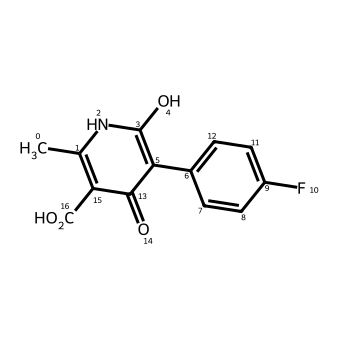 Cc1[nH]c(O)c(-c2ccc(F)cc2)c(=O)c1C(=O)O